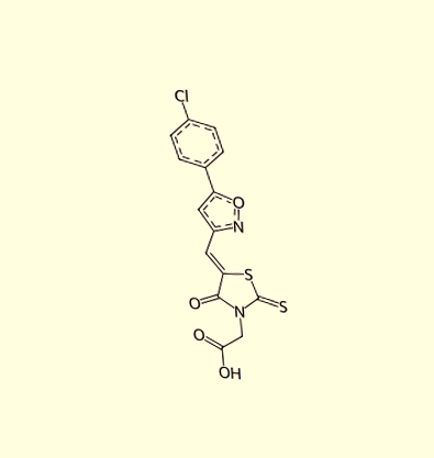 O=C(O)CN1C(=O)/C(=C/c2cc(-c3ccc(Cl)cc3)on2)SC1=S